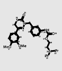 COc1ccc(C2=NN(Cc3cccc(NC(=O)OCCN(C(C)C)C(C)C)c3)C(=O)SC2)cc1OC